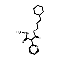 CNC(=S)C(C(=O)OCCCC1CCCCC1)c1ccccn1